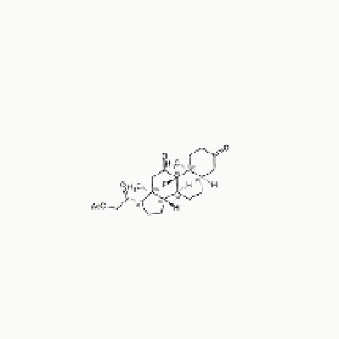 CC(=O)OCC(=O)[C@H]1CC[C@H]2[C@@H]3CC[C@@H]4CC(=O)CC[C@]4(C)[C@@]3(F)C(=O)C[C@]12C